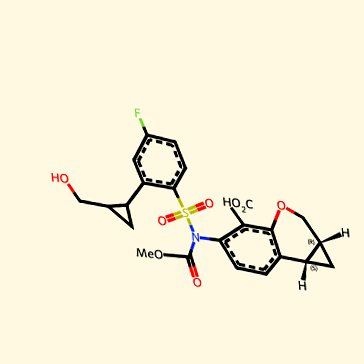 COC(=O)N(c1ccc2c(c1C(=O)O)OC[C@@H]1C[C@H]21)S(=O)(=O)c1ccc(F)cc1C1CC1CO